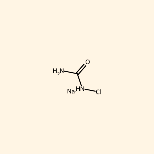 NC(=O)NCl.[Na]